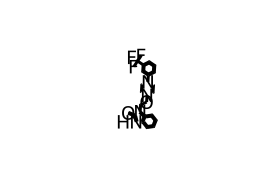 O=c1[nH]c2ccccc2n1CON1CCN(c2cccc(C(F)(F)F)c2)CC1